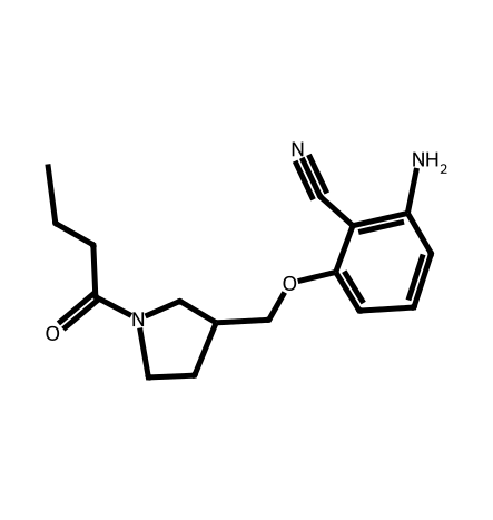 CCCC(=O)N1CCC(COc2cccc(N)c2C#N)C1